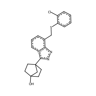 OC12CCC(c3nnc4c(CSc5ccccc5Cl)cccn34)(CC1)C2